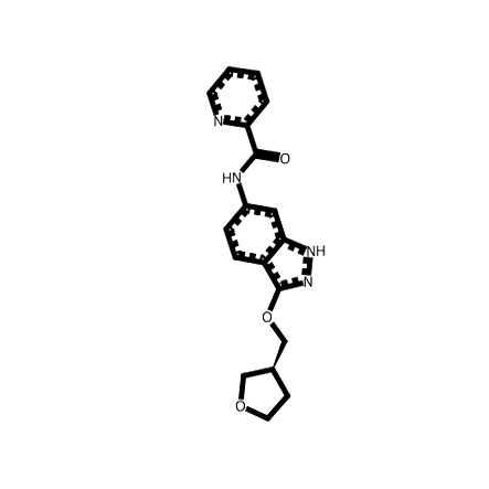 O=C(Nc1ccc2c(OC[C@H]3CCOC3)n[nH]c2c1)c1ccccn1